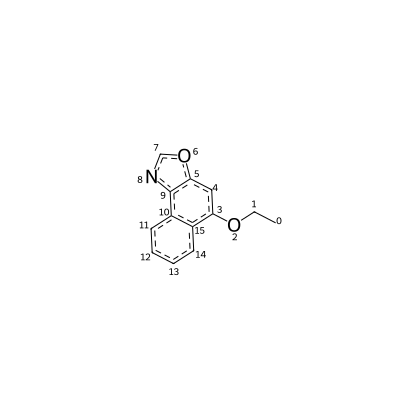 CCOc1cc2ocnc2c2ccccc12